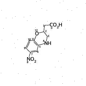 O=C(O)CC1CNc2cc([N+](=O)[O-])ccc2O1